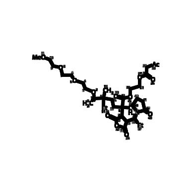 C=C(OCCOCCOCCOC)C(C)(CC)CCC(C)(C(=O)OCCOC(=O)CC(C)=O)C1C(=O)OC(=O)C1C(CC)N1CCCC1=O